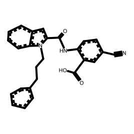 N#Cc1ccc(NC(=O)c2cc3ccccc3n2CCCc2ccccc2)c(C(=O)O)c1